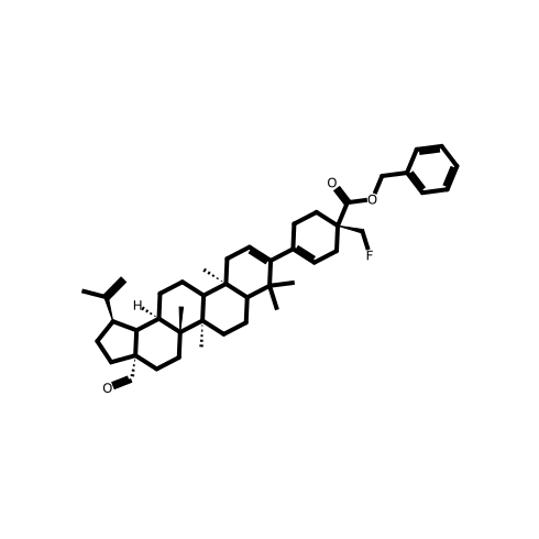 C=C(C)[C@@H]1CC[C@]2(C=O)CC[C@]3(C)[C@H](CCC4[C@@]5(C)CC=C(C6=CC[C@@](CF)(C(=O)OCc7ccccc7)CC6)C(C)(C)C5CC[C@]43C)C12